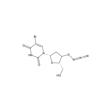 [N-]=[N+]=NOC1C[C@@H](n2cc(Br)c(=O)[nH]c2=O)O[C@H]1CO